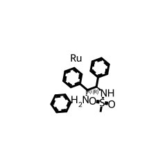 CS(=O)(=O)N[C@H](c1ccccc1)[C@H](N)c1ccccc1.[Ru].c1ccccc1